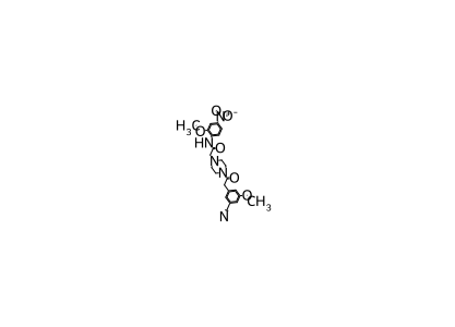 COc1cc(C#N)cc(CC(=O)N2CCN(CC(=O)Nc3ccc([N+](=O)[O-])cc3OC)CC2)c1